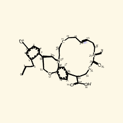 CCCc1cc(Cl)ccc1C1COc2ccc3cc2N(CCCC/C=C/CN(C)C(=O)CCC3C(=O)O)C1